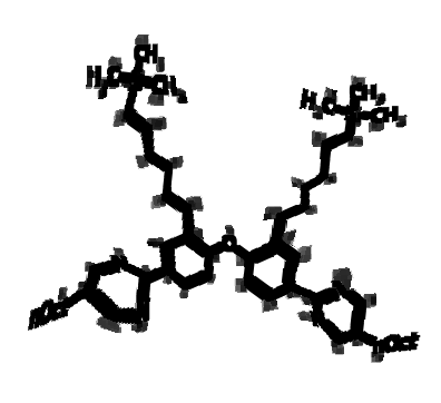 CCCCCCCCc1cnc(-c2ccc(Oc3ccc(-c4ncc(CCCCCCCC)cn4)cc3CCCCCC[Si](C)(C)C)c(CCCCCC[Si](C)(C)C)c2)nc1